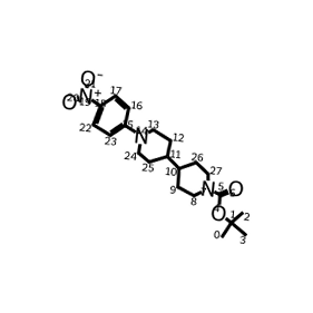 CC(C)(C)OC(=O)N1CCC(C2CCN(c3ccc([N+](=O)[O-])cc3)CC2)CC1